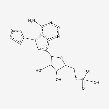 Nc1ncnc2c1c(-c1ccsc1)cn2C1OC(COP(=O)(O)O)C(O)C1O